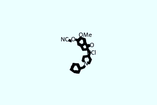 COc1cc2c(cc1OCC#N)CC(CC1CCN(Cc3ccccc3)CC1)C2=O.Cl